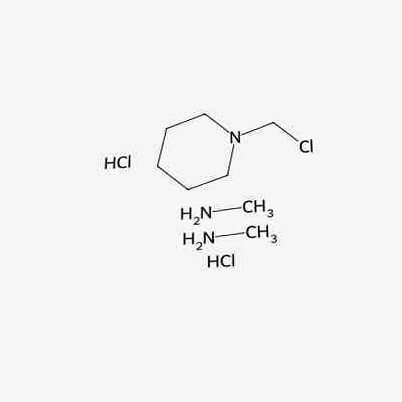 CN.CN.Cl.Cl.ClCN1CCCCC1